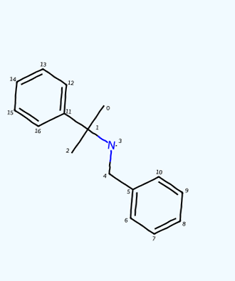 CC(C)([N]Cc1ccccc1)c1ccccc1